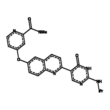 CNC(=O)c1cc(Oc2ccc3nc(-c4cnc(NC(C)C)[nH]c4=O)ccc3c2)ccn1